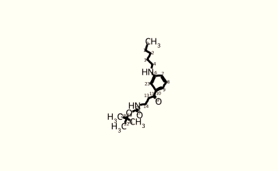 CCCCCNc1cccc(C(=O)CCNC(=O)OC(C)(C)C)c1